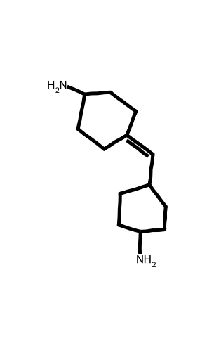 NC1CCC(=CC2CCC(N)CC2)CC1